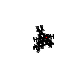 CCN(CC)c1ccc(/C(=C2/C=CC(N(CC)CC)C=C2O)c2ccccc2C(=O)O)cc1